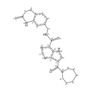 O=C1COc2ccc(CNC(=O)c3ncnc4c(C(=O)N5CCCCCC5)c[nH]c34)cc2N1